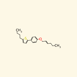 CCCC=CCOc1ccc(-c2ccc(CCCC)s2)cc1